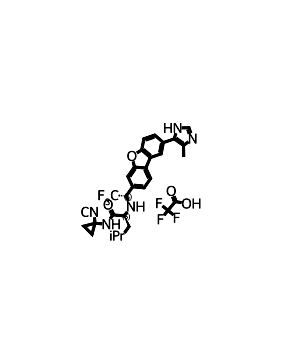 Cc1nc[nH]c1-c1ccc2oc3cc([C@H](N[C@@H](CC(C)C)C(=O)NC4(C#N)CC4)C(F)(F)F)ccc3c2c1.O=C(O)C(F)(F)F